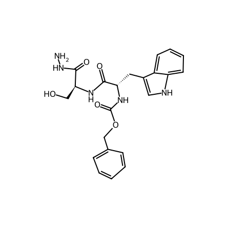 NNC(=O)[C@H](CO)NC(=O)[C@H](Cc1c[nH]c2ccccc12)NC(=O)OCc1ccccc1